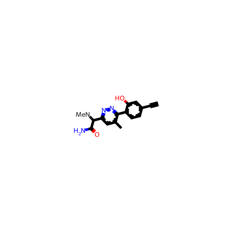 C#Cc1ccc(-c2nnc(C(NC)C(N)=O)cc2C)c(O)c1